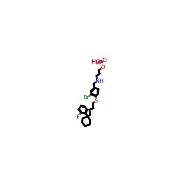 O=[PH](O)OCCCNCc1ccc(SCCCCC2(c3ccccc3F)CCCCC2)c(Br)c1